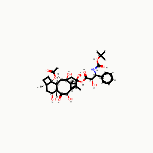 CC(=O)O[C@@]12CC[C@@H]1C[C@H](O)[C@@]1(C)C(=O)[C@H](O)C3=C(C)C(O)(OC(=O)[C@H](O)[C@@H](NC(=O)OC(C)(C)C)c4ccccc4)C[C@@](O)([C@@H](C)[C@H]21)C3(C)C